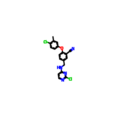 Cc1cc(Oc2ccc(CNc3ccnc(Cl)n3)cc2C#N)ccc1Cl